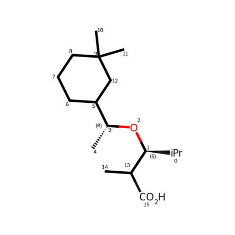 CC(C)[C@H](O[C@H](C)C1CCCC(C)(C)C1)C(C)C(=O)O